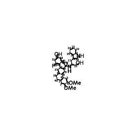 COc1cc2c(cc1OC)-c1cc(C(=O)NC(CO)Cc3c[nH]c4ccccc34)c(-c3c(F)cc(O)cc3F)cc1CC2